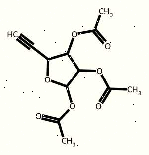 C#CC1OC(OC(C)=O)C(OC(C)=O)C1OC(C)=O